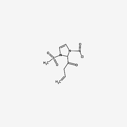 C=CCC(=O)C1N(C(=O)Cl)C=CN1S(C)(=O)=O